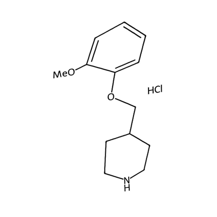 COc1ccccc1OCC1CCNCC1.Cl